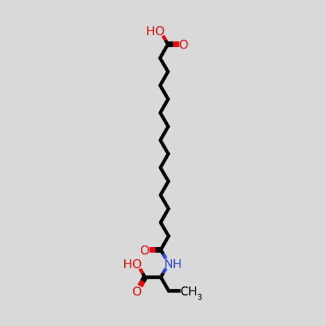 CCC(NC(=O)CCCCCCCCCCCCCCC(=O)O)C(=O)O